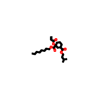 C=CC(=O)OC1(C(=O)OCCCCCCCC)CCCC(C(=O)OCCC(C)C)C1